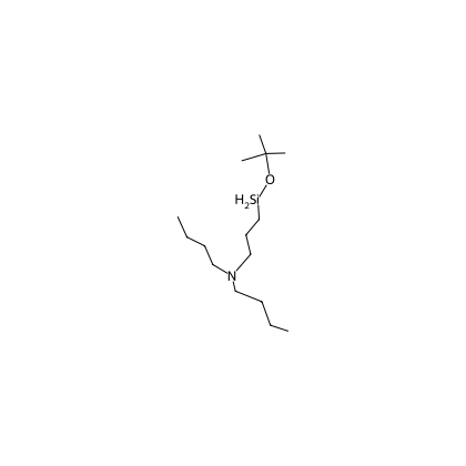 CCCCN(CCCC)CCC[SiH2]OC(C)(C)C